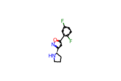 Fc1ccc(F)c(-c2cc([C@H]3CCCN3)no2)c1